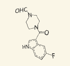 O=CN1CCN(C(=O)c2c[nH]c3ccc(F)cc23)CC1